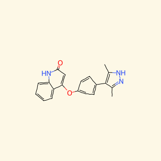 Cc1n[nH]c(C)c1-c1ccc(Oc2cc(=O)[nH]c3ccccc23)cc1